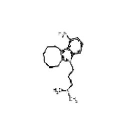 CN(C)CCCn1c2c(c3c(N)cccc31)CCCCCC2